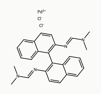 CN(C)C=Nc1ccc2ccccc2c1-c1c(N=CN(C)C)ccc2ccccc12.[Cl-].[Cl-].[Pd+2]